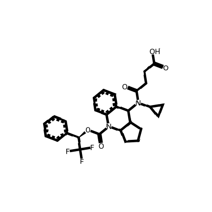 O=C(O)CCC(=O)N(C1CC1)C1c2ccccc2N(C(=O)O[C@H](c2ccccc2)C(F)(F)F)C2CCCC21